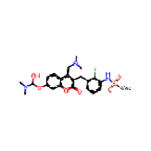 CNS(=O)(=O)Nc1cccc(Cc2c(CN(C)C)c3ccc(OC(O)N(C)C)cc3oc2=O)c1F